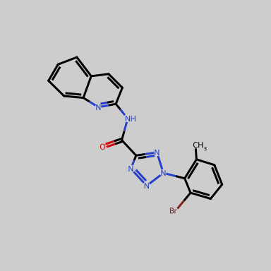 Cc1cccc(Br)c1-n1nnc(C(=O)Nc2ccc3ccccc3n2)n1